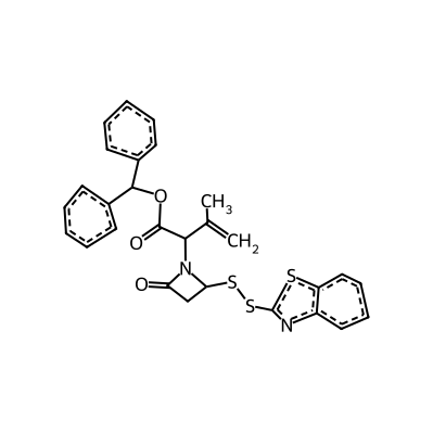 C=C(C)C(C(=O)OC(c1ccccc1)c1ccccc1)N1C(=O)CC1SSc1nc2ccccc2s1